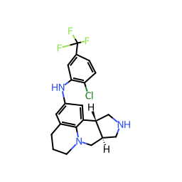 FC(F)(F)c1ccc(Cl)c(Nc2cc3c4c(c2)[C@@H]2CNC[C@H]2CN4CCC3)c1